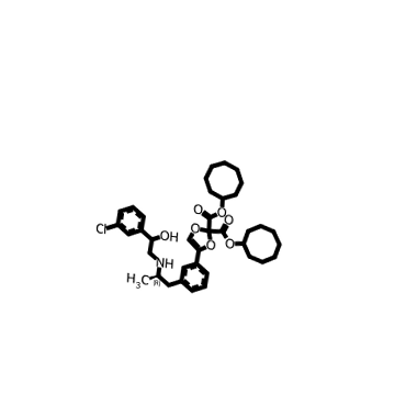 C[C@H](Cc1cccc(C2=COC(C(=O)OC3CCCCCCC3)(C(=O)OC3CCCCCCC3)O2)c1)NCC(O)c1cccc(Cl)c1